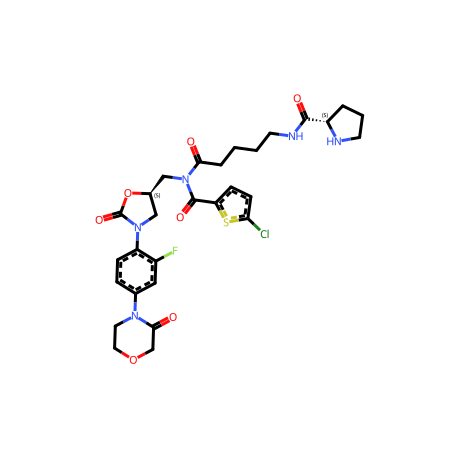 O=C(NCCCCC(=O)N(C[C@H]1CN(c2ccc(N3CCOCC3=O)cc2F)C(=O)O1)C(=O)c1ccc(Cl)s1)[C@@H]1CCCN1